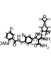 COc1ccc(F)cc1C(=O)NCc1ccc(-c2nn(C3CN(C4COC4)CC3(F)F)c(N)c2C(N)=O)cc1F